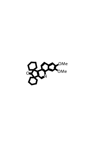 COc1cc2ccc3c4c(cnc3c2cc1OC)C1(CCCCC1)C(=O)C41CCCCC1